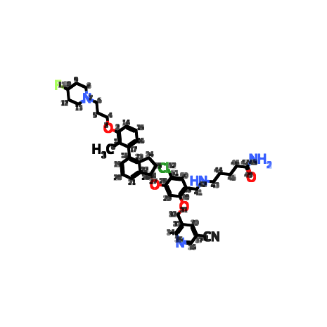 Cc1c(OCCCN2CCC(F)CC2)cccc1-c1cccc2c1CC[C@@H]2Oc1cc(OCc2cncc(C#N)c2)c(CNCCCCC(N)=O)cc1Cl